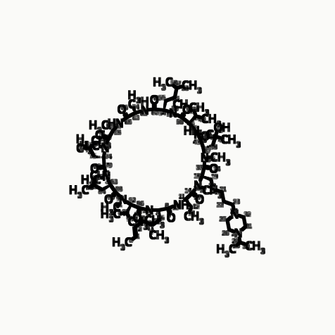 C/C=C/C[C@@H](C)C[C@@H]1C(=O)N[C@H](CC)C(=O)N(C)[C@H](CSCCCN2CCN(C(C)C)CC2)C(=O)N(C)[C@@H](CC(C)(C)O)C(=O)N[C@H](C(C)C)C(=O)N(C)[C@H](CCC(C)C)C(=O)N[C@H](C)C(=O)N[C@@H](C)C(=O)N(C)[C@@H](CC(C)C)C(=O)N(C)[C@H](CC(C)C)C(=O)N(C)[C@H](C(C)C)C(=O)N1C